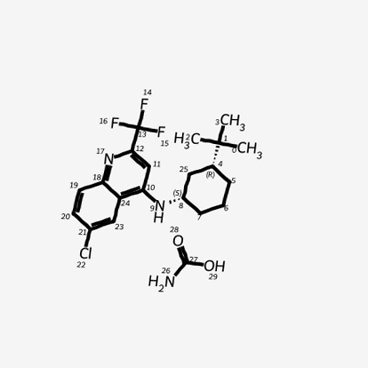 CC(C)(C)[C@@H]1CCC[C@H](Nc2cc(C(F)(F)F)nc3ccc(Cl)cc23)C1.NC(=O)O